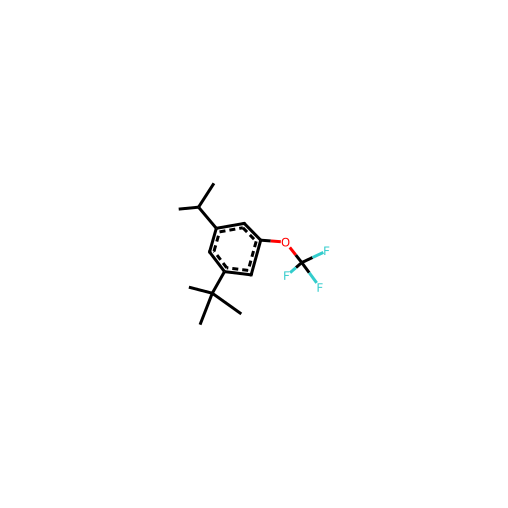 CC(C)c1cc(OC(F)(F)F)cc(C(C)(C)C)c1